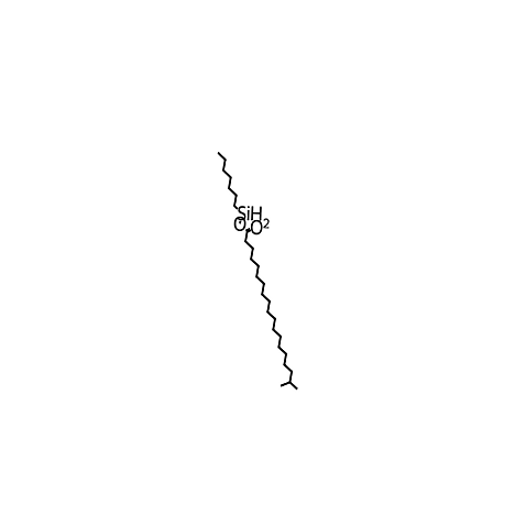 CCCCCCC[SiH2]OC(=O)CCCCCCCCCCCCCCCCC(C)C